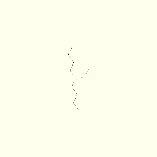 CCCC[Si](CCCC)OC